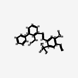 C=Cc1cc(C(F)(F)F)c(/C=C/c2cccc(-c3ccccc3)c2CF)cc1OC